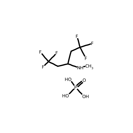 CNC(CC(F)(F)F)CC(F)(F)F.O=P(O)(O)O